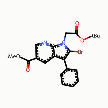 COC(=O)c1cnc2c(c1)c(-c1ccccc1)c(Br)n2CC(=O)OC(C)(C)C